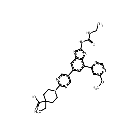 CCNC(=O)Nc1nc2cc(-c3cnc(N4CCC(CC)(C(=O)O)CC4)nc3)cc(-c3cc(OC)ncn3)c2s1